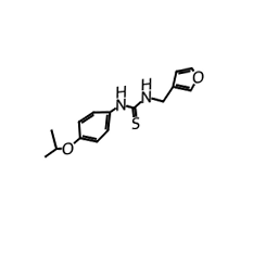 CC(C)Oc1ccc(NC(=S)NCc2ccoc2)cc1